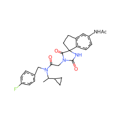 CC(=O)Nc1ccc2c(c1)CCC21NC(=O)N(CC(=O)N(Cc2ccc(F)cc2)C(C)C2CC2)C1=O